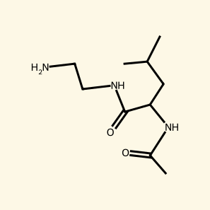 CC(=O)NC(CC(C)C)C(=O)NCCN